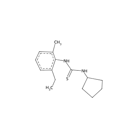 CCc1cccc(C)c1NC(=S)NC1CCCC1